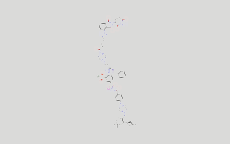 CC1(C)CCC(CN2CCN(c3ccc(C(=O)NS(=O)(=O)c4ccc(N[C@H](CCN5CCN(C(=O)CCCCNc6cccc7c6C(=O)N(C6CCC(=O)NC6=O)C7=O)CC5)CSc5ccccc5)c(S(=O)(=O)C(F)(F)F)c4)cc3)CC2)=C(C23CC(C)(C2)C3)C1